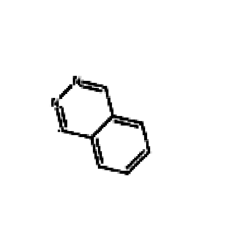 [c]1nncc2ccccc12